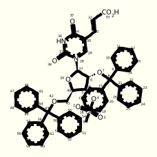 CS(=O)(=O)O[C@H]1[C@@H](OC(c2ccccc2)(c2ccccc2)c2ccccc2)[C@H](n2cc(C=CC(=O)O)c(=O)[nH]c2=O)O[C@@H]1COC(c1ccccc1)(c1ccccc1)c1ccccc1